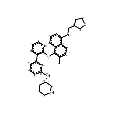 Cc1ccc2c(NCC3CCOC3)cccc2c1Oc1ncccc1-c1ccnc(N[C@H]2CCCNC2)n1